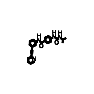 CC(C)NC(=O)Nc1ccc(C(=O)Nc2cccc(C#Cc3ccccn3)c2)cc1